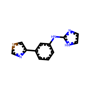 [c]1nc(-c2cccc(Nc3ncc[nH]3)c2)cs1